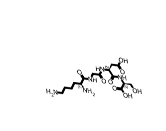 NCCCC[C@H](N)C(=O)NCC(=O)N[C@@H](CC(=O)O)C(=O)N[C@@H](CO)C(=O)O